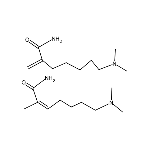 C=C(CCCCCN(C)C)C(N)=O.CC(=CCCCCN(C)C)C(N)=O